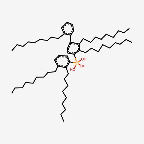 CCCCCCCCCc1ccccc1-c1ccc(P(O)(O)(O)c2cccc(CCCCCCCCC)c2CCCCCCCCC)c(CCCCCCCCC)c1CCCCCCCCC